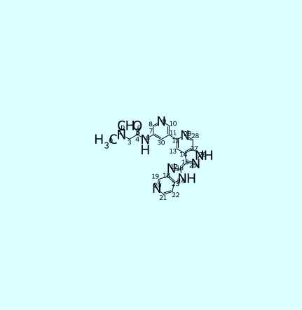 CN(C)CC(=O)Nc1cncc(-c2cc3c(-c4nc5cnccc5[nH]4)n[nH]c3cn2)c1